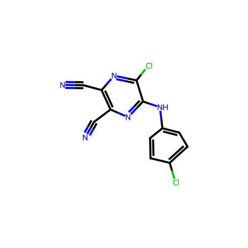 N#Cc1nc(Cl)c(Nc2ccc(Cl)cc2)nc1C#N